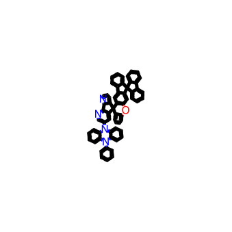 c1ccc(N2c3ccccc3N(c3cnc4c(c3)C3(c5ccccc5Oc5cc6c(cc53)-c3ccccc3C63c5ccccc5-c5ccccc53)c3cccnc3-4)c3ccccc32)cc1